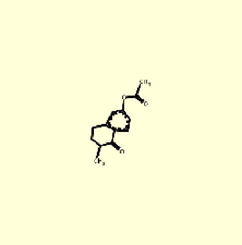 CC(=O)Oc1ccc2c(c1)CCC(C)C2=O